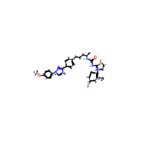 CC(CCCc1ccc(-c2ncn(-c3ccc(OC(F)(F)F)cc3)n2)cc1)NC(=O)/N=C1\SCCN1c1ccc(F)cc1C(C)C